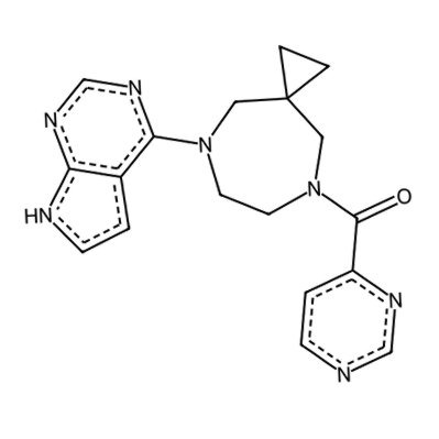 O=C(c1ccncn1)N1CCN(c2ncnc3[nH]ccc23)CC2(CC2)C1